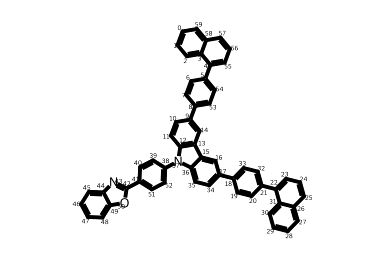 c1ccc2c(-c3ccc(-c4ccc5c(c4)c4cc(-c6ccc(-c7cccc8ccccc78)cc6)ccc4n5-c4ccc(-c5nc6ccccc6o5)cc4)cc3)cccc2c1